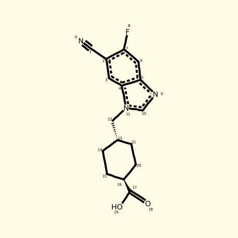 N#Cc1cc2c(cc1F)ncn2C[C@H]1CC[C@H](C(=O)O)CC1